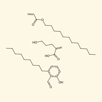 C=C(CCCO)C(=O)O.C=CC(=O)OCCCCCCCCCCCC.CCCCCCCCCc1cccc(O)c1C=O